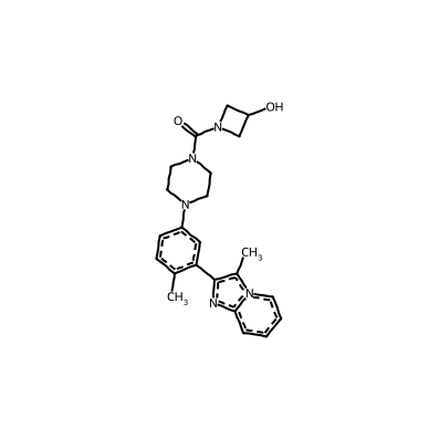 Cc1ccc(N2CCN(C(=O)N3CC(O)C3)CC2)cc1-c1nc2ccccn2c1C